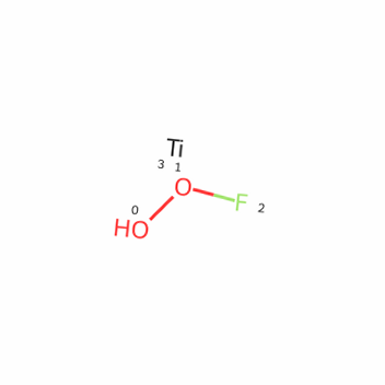 OOF.[Ti]